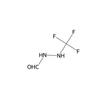 O=CNNC(F)(F)F